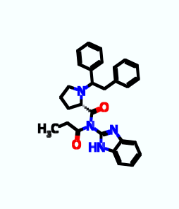 CCC(=O)N(C(=O)[C@@H]1CCCN1C(Cc1ccccc1)c1ccccc1)c1nc2ccccc2[nH]1